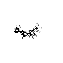 Cc1cc(-c2cc3nc(C(NC(=O)OC(C)(C)C)C(C)C)[nH]c(=O)c3s2)ccn1